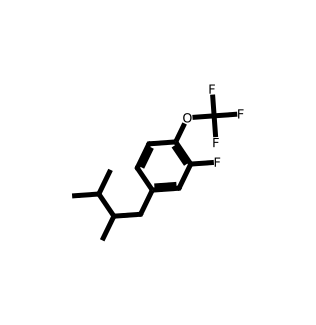 CC(C)C(C)Cc1ccc(OC(F)(F)F)c(F)c1